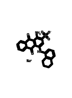 Nc1c(S(=O)(=O)[O-])cc(Nc2cccc3c2CCCC3)c2c1C(=O)c1ccccc1C2=O.[Na+]